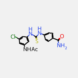 CC(=O)Nc1cc(Cl)cc(NC(=S)Nc2ccc(C(N)=O)cc2)c1